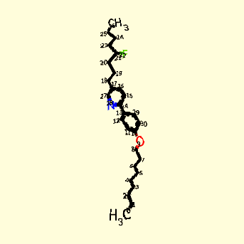 CCCCCCCCCOc1ccc(-c2ccc(CCCC(F)CCCC)cn2)cc1